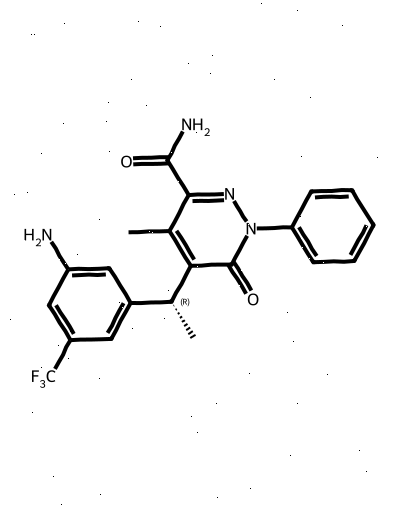 Cc1c(C(N)=O)nn(-c2ccccc2)c(=O)c1[C@H](C)c1cc(N)cc(C(F)(F)F)c1